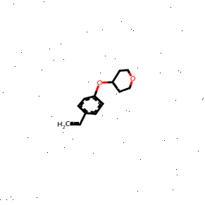 C=Cc1ccc(OC2CCOCC2)cc1